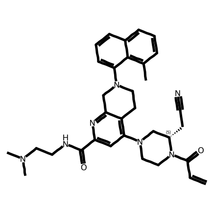 C=CC(=O)N1CCN(c2cc(C(=O)NCCN(C)C)nc3c2CCN(c2cccc4cccc(C)c24)C3)C[C@@H]1CC#N